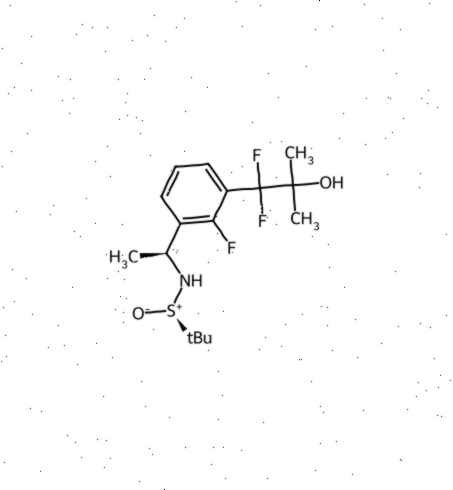 C[C@H](N[S@+]([O-])C(C)(C)C)c1cccc(C(F)(F)C(C)(C)O)c1F